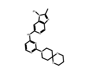 Cc1nc2cnc(Nc3ccnc(N4CCC5(CC4)OCCCO5)n3)cc2n1C(C)C